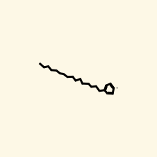 CCCCCCCCCCCCCCCCc1cc[c]cc1